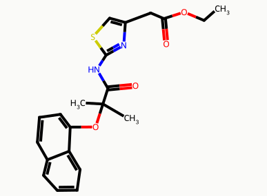 CCOC(=O)Cc1csc(NC(=O)C(C)(C)Oc2cccc3ccccc23)n1